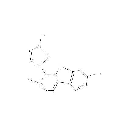 CCc1ccc2c(n1)oc1c(N3C=CN(C(C)C)[C@@H]3C)c(C)ccc12